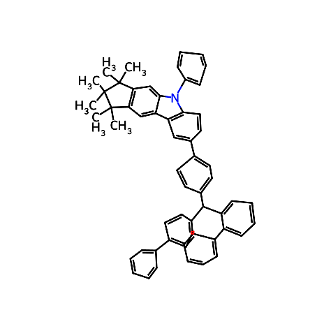 CC1(C)c2cc3c4cc(-c5ccc(C(c6ccc(-c7ccccc7)cc6)c6ccccc6-c6ccccc6)cc5)ccc4n(-c4ccccc4)c3cc2C(C)(C)C1(C)C